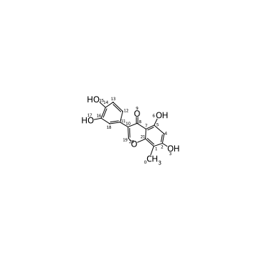 Cc1c(O)cc(O)c2c(=O)c(-c3ccc(O)c(O)c3)coc12